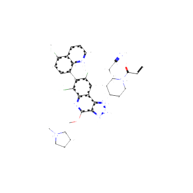 C=CC(=O)N1CC[C@H](n2nnc3c(OC[C@@H]4CCCN4C)nc4c(Cl)c(-c5ccc(F)c6cccnc56)c(Cl)cc4c32)C[C@H]1CC#N